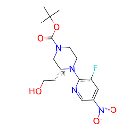 CC(C)(C)OC(=O)N1CCN(c2ncc([N+](=O)[O-])cc2F)[C@H](CCO)C1